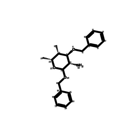 C[C@@H]1[C@@H](OCc2ccccc2)[C@H](N)C(OCc2ccccc2)O[C@@H]1C